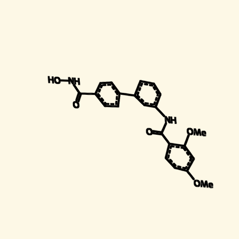 COc1ccc(C(=O)Nc2cccc(-c3ccc(C(=O)NO)cc3)c2)c(OC)c1